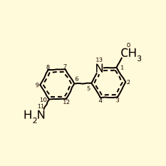 Cc1cccc(-c2cccc(N)c2)n1